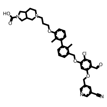 Cc1c(COc2cc(OCc3cncc(C#N)c3)c(C=O)cc2Cl)cccc1-c1cccc(OCCCN2CCC3CN(C(=O)O)CC3C2)c1C